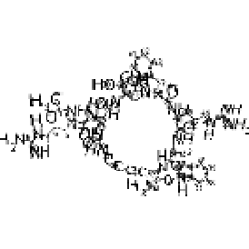 CC(=O)N[C@@H](CCCNC(=N)N)C(O)N[C@H]1CC(=O)NCCCC[C@@H](C(N)=O)NC(=O)[C@H](Cc2c[nH]c3ccccc23)NC(=O)[C@H](CCCNC(=N)N)NC(=O)[C@@H](Cc2ccccc2)NC(O)[C@@H]([C@@H](C)O)NC1=O